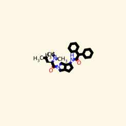 CC(C)C[C@H](C(=O)N1CC2CCC(NC(=O)C(C3CCCCC3)C3CCCCC3)C2C1)N(C)C